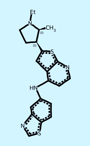 CCN1CC[C@H](c2cc3c(Nc4ccc5scnc5c4)ccnc3s2)[C@@H]1C